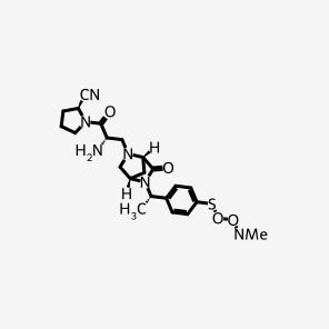 CNOOSc1ccc([C@H](C)N2C(=O)[C@@H]3C[C@H]2CN3C[C@H](N)C(=O)N2CCC[C@H]2C#N)cc1